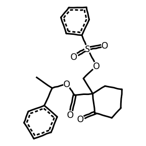 CC(OC(=O)C1(COS(=O)(=O)c2ccccc2)CCCCC1=O)c1ccccc1